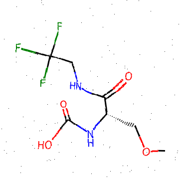 COC[C@H](NC(=O)O)C(=O)NCC(F)(F)F